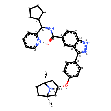 O=CN1[C@@H]2CC[C@H]1C[C@H](Oc1ccc(-c3n[nH]c4ccc(C(=O)NC(c5ccccn5)C5CCCC5)cc34)cc1)C2